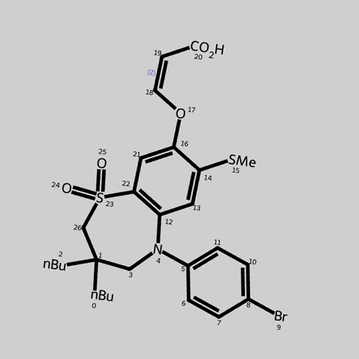 CCCCC1(CCCC)CN(c2ccc(Br)cc2)c2cc(SC)c(O/C=C\C(=O)O)cc2S(=O)(=O)C1